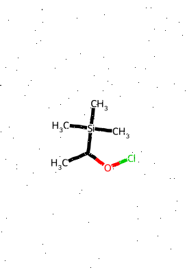 CC(OCl)[Si](C)(C)C